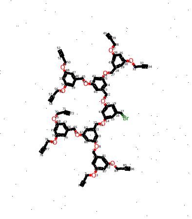 C#CCOc1cc(COc2cc(COc3cc(CBr)cc(OCc4cc(OCc5cc(OCC#C)cc(OCC#C)c5)cc(OCc5cc(OCC#C)cc(OCC#C)c5)c4)c3)cc(OCc3cc(OCC#C)cc(OCC#C)c3)c2)cc(OCC#C)c1